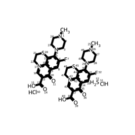 CN1CCN(c2c(F)cc3c(=O)c(C(=O)O)cn4c3c2SCC4)CC1.CN1CCN(c2c(F)cc3c(=O)c(C(=O)O)cn4c3c2SCC4)CC1.Cl.Cl.S